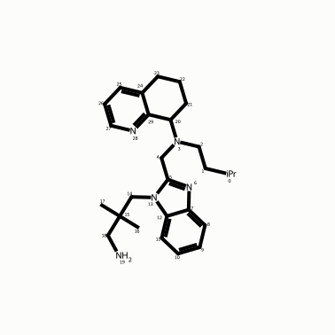 CC(C)CCN(Cc1nc2ccccc2n1CC(C)(C)CN)C1CCCc2cccnc21